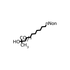 CCCCCCCCCCCCCCCCCCC(C)(O)C(=O)O